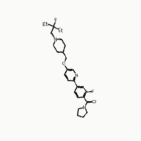 CCC(F)(CC)CN1CCC(COc2ccc(-c3ccc(C(=O)N4CCCC4)c(F)c3)nc2)CC1